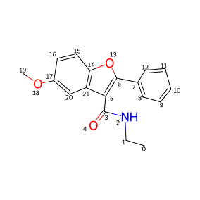 CCNC(=O)c1c(-c2ccccc2)oc2ccc(OC)cc12